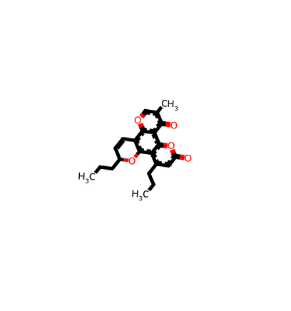 CCCc1[c]c(=O)oc2c1c1c(c3occ(C)c(=O)c32)C=CC(CCC)O1